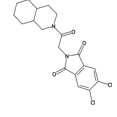 O=C(CN1C(=O)c2cc(Cl)c(Cl)cc2C1=O)N1CCC2CCCCC2C1